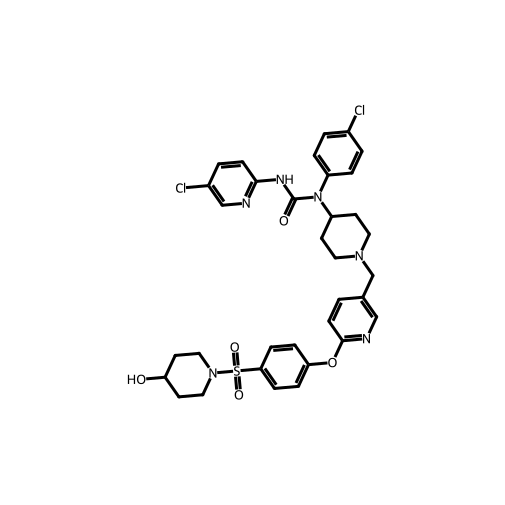 O=C(Nc1ccc(Cl)cn1)N(c1ccc(Cl)cc1)C1CCN(Cc2ccc(Oc3ccc(S(=O)(=O)N4CCC(O)CC4)cc3)nc2)CC1